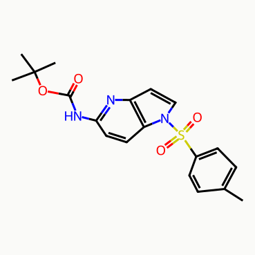 Cc1ccc(S(=O)(=O)n2ccc3nc(NC(=O)OC(C)(C)C)ccc32)cc1